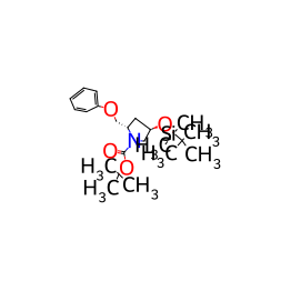 CC(C)(C)OC(=O)N1C[C@H](O[Si](C)(C)C(C)(C)C)C[C@H]1COc1ccccc1